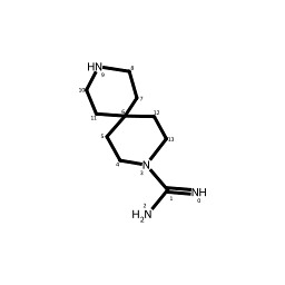 N=C(N)N1CCC2(CCNCC2)CC1